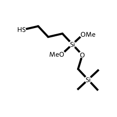 CO[Si](CCCS)(OC)OC[Si](C)(C)C